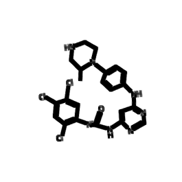 CC1CNCCN1c1ccc(Nc2cc(NC(=O)Nc3cc(Cl)c(Cl)cc3Cl)ncn2)cc1